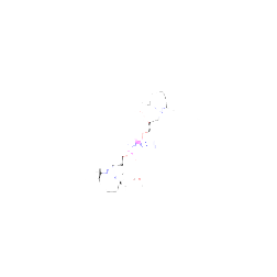 CC1CCCC(C)N1CC(O)CONNOCC(O)CN1C(C)(C)CCCC1(C)C